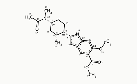 COC(=O)c1cc2cn([C@H]3CC[C@@H](N(C)C(C)=O)C[C@H]3C)nc2cc1OC